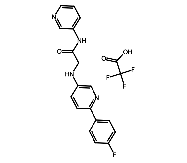 O=C(CNc1ccc(-c2ccc(F)cc2)nc1)Nc1cccnc1.O=C(O)C(F)(F)F